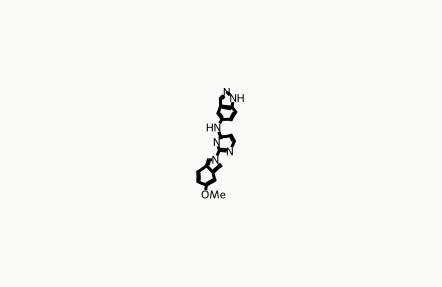 COc1ccc2cn(-c3nccc(Nc4ccc5[nH]ncc5c4)n3)cc2c1